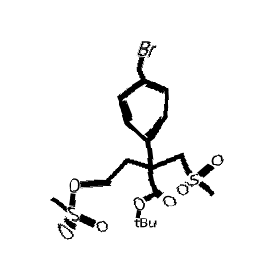 CC(C)(C)OC(=O)C(CCOS(C)(=O)=O)(CS(C)(=O)=O)c1ccc(Br)cc1